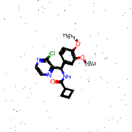 CCCCOc1cc(C(NC(=O)C2CCC2)c2nccnc2Cl)ccc1OCCC